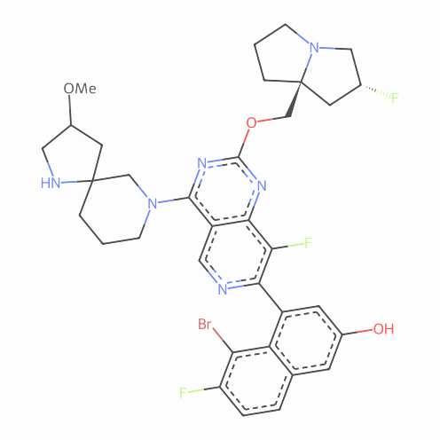 COC1CNC2(CCCN(c3nc(OC[C@@]45CCCN4C[C@H](F)C5)nc4c(F)c(-c5cc(O)cc6ccc(F)c(Br)c56)ncc34)C2)C1